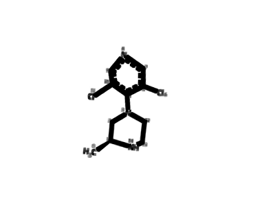 C[C@H]1CN(c2c(Cl)cncc2Cl)CCN1